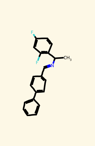 CC(N=Cc1ccc(-c2ccccc2)cc1)c1ccc(F)cc1F